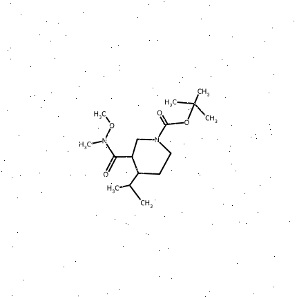 CON(C)C(=O)C1CN(C(=O)OC(C)(C)C)CCC1C(C)C